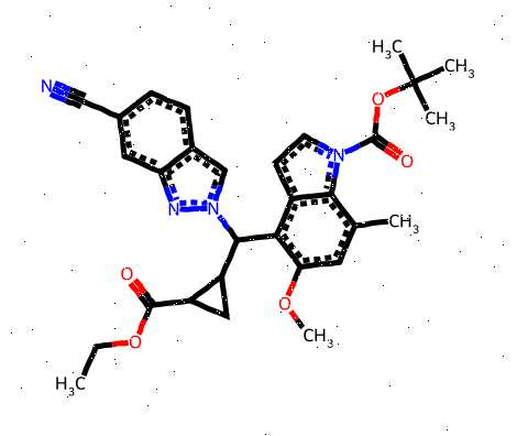 CCOC(=O)C1CC1C(c1c(OC)cc(C)c2c1ccn2C(=O)OC(C)(C)C)n1cc2ccc(C#N)cc2n1